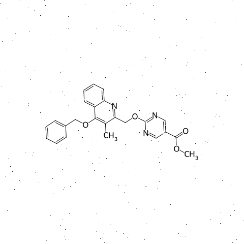 COC(=O)c1cnc(OCc2nc3ccccc3c(OCc3ccccc3)c2C)nc1